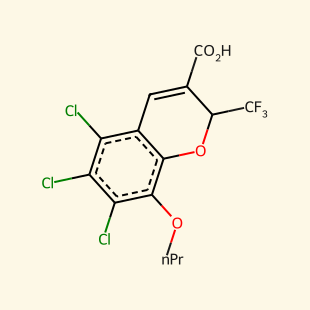 CCCOc1c(Cl)c(Cl)c(Cl)c2c1OC(C(F)(F)F)C(C(=O)O)=C2